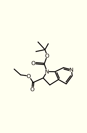 CCOC(=O)C1Cc2ccncc2N1C(=O)OC(C)(C)C